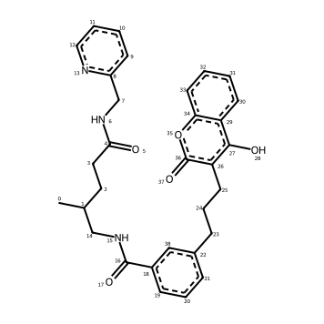 CC(CCC(=O)NCc1ccccn1)CNC(=O)c1cccc(CCCc2c(O)c3ccccc3oc2=O)c1